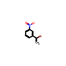 C=C(Br)c1cccc([N+](=O)[O-])c1